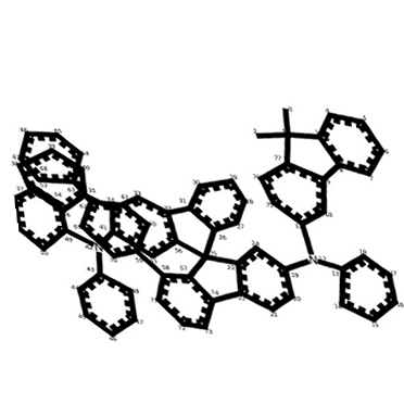 CC1(C)c2ccccc2-c2cc(N(c3ccccc3)c3ccc4c(c3)C3(c5ccccc5-c5cc(-c6ccccc6)c(N(c6ccccc6)c6ccccc6)cc53)c3c(-c5ccc(-c6ccccc6)cc5)cccc3-4)ccc21